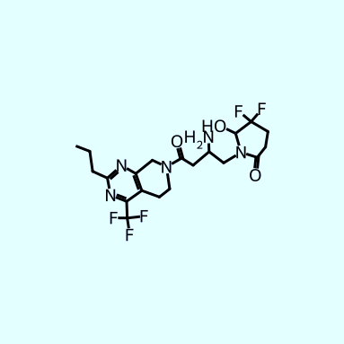 CCCc1nc2c(c(C(F)(F)F)n1)CCN(C(=O)CC(N)CN1C(=O)CCC(F)(F)C1O)C2